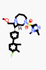 COCC1[C@@H](c2ccc(-c3ccc(F)c(C)c3C)cc2)[C@@H]2CN(S(=O)(=O)c3cnc(C)n3C)CCCCN12